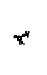 Cc1cc(Cl)cc(OCC(F)(F)F)c1